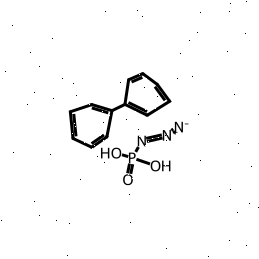 [N-]=[N+]=NP(=O)(O)O.c1ccc(-c2ccccc2)cc1